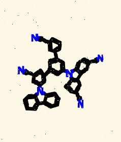 N#Cc1cccc(-c2cc(-c3cc(C#N)cc(-n4c5ccccc5c5ccccc54)c3)cc(-n3c4ccc(C#N)cc4c4cc(C#N)ccc43)c2)c1